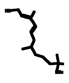 CSC(C)(C)CCCC(C)CC=CC(C)=CCO